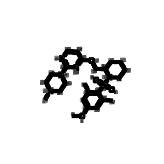 COc1cc(C)c(S(=O)(=O)N2CCCCC2COc2ccnc(N3CCN(C)CC3)n2)c(C)c1